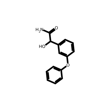 NC(=O)C(O)c1cccc(Oc2ccccc2)c1